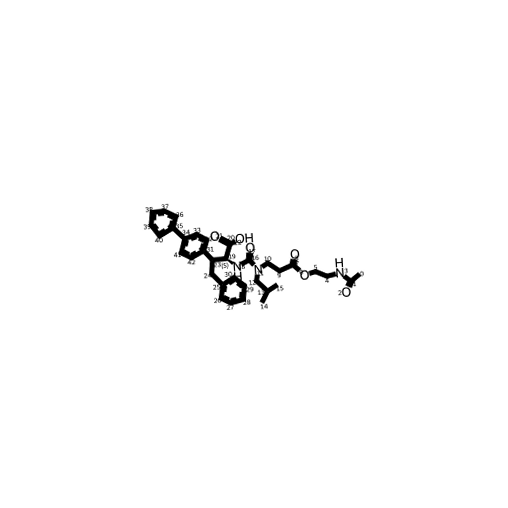 CC(=O)NCCOC(=O)CCN(CC(C)C)C(=O)N[C@H](C(=O)O)C(Cc1ccccc1)c1ccc(-c2ccccc2)cc1